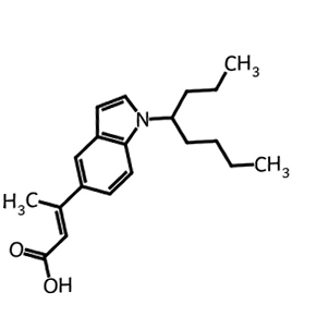 CCCCC(CCC)n1ccc2cc(C(C)=CC(=O)O)ccc21